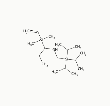 C=C[Si](C)(C)C(CC)NC[Si](C(C)C)(C(C)C)C(C)C